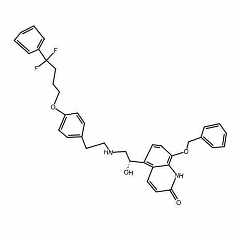 O=c1ccc2c([C@H](O)CNCCc3ccc(OCCCC(F)(F)c4ccccc4)cc3)ccc(OCc3ccccc3)c2[nH]1